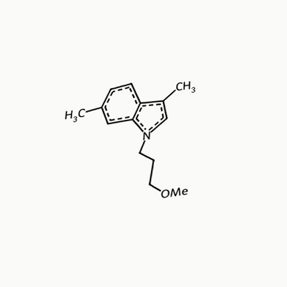 COCCCn1cc(C)c2ccc(C)cc21